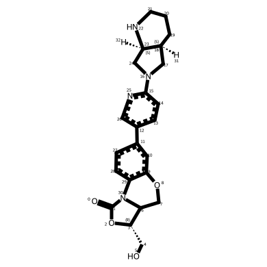 O=C1O[C@@H](CO)C2COc3cc(-c4ccc(N5C[C@@H]6CCCN[C@@H]6C5)nc4)ccc3N12